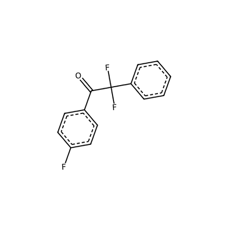 O=C(c1ccc(F)cc1)C(F)(F)c1ccccc1